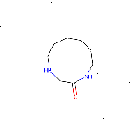 O=C1CNCCCCCCN1